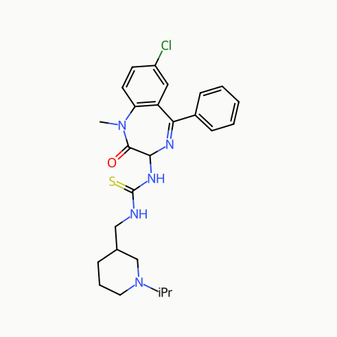 CC(C)N1CCCC(CNC(=S)NC2N=C(c3ccccc3)c3cc(Cl)ccc3N(C)C2=O)C1